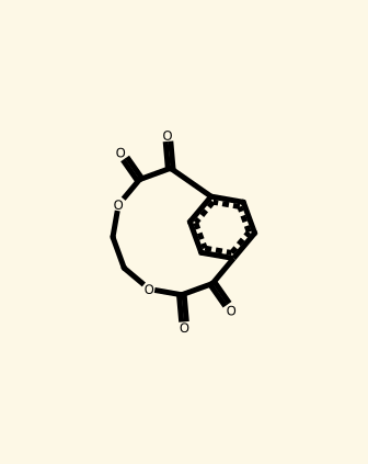 O=C1OCCOC(=O)C(=O)c2ccc(cc2)C1=O